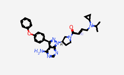 CC(C)N(C/C=C/C(=O)N1CC[C@@H](n2nc(-c3ccc(Oc4ccccc4)cc3)c3c(N)ncnc32)C1)C1CC1